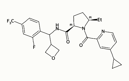 CC[C@@H]1CC[C@H](C(=O)NC(c2ccc(C(F)(F)F)cc2F)C2COC2)N1C(=O)c1cc(C2CC2)ccn1